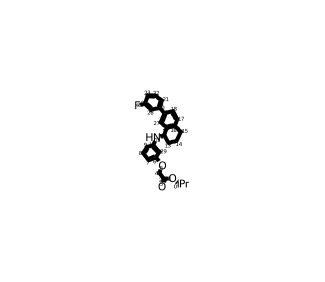 CC(C)OC(=O)COc1cccc(NC2CCCc3ccc(-c4cccc(F)c4)cc32)c1